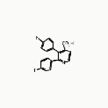 O=C(O)c1ccnc(-c2ccc(F)cc2)c1-c1ccc(F)cc1